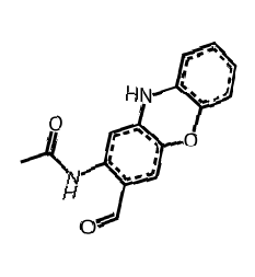 CC(=O)Nc1cc2c(cc1C=O)Oc1ccccc1N2